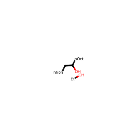 CCCCCCCCCCC(O)CCCCCCCC.CCO